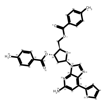 Cc1ccc(C(=O)OC[C@H]2O[C@@H](n3cnc4c(-c5cccs5)cc(N)nc43)C[C@@H]2OC(=O)c2ccc(C)cc2)cc1